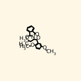 CCOc1ccc(OCC)c(C(=O)C(CC(C)C)N2C(=O)c3ccccc3C2=O)c1